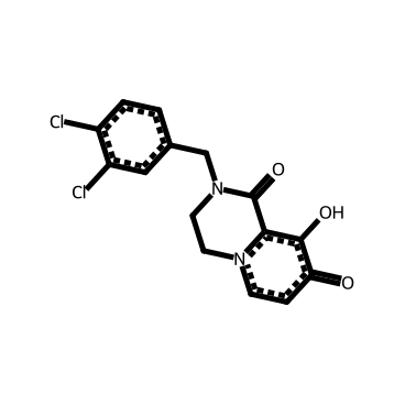 O=C1c2c(O)c(=O)ccn2CCN1Cc1ccc(Cl)c(Cl)c1